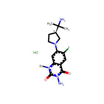 CCn1c(=O)n(N)c(=O)c2cc(F)c(N3CC[C@@H](C(C)(C)N)C3)cc21.Cl